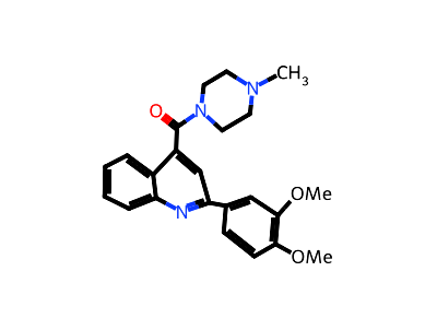 COc1ccc(-c2cc(C(=O)N3CCN(C)CC3)c3ccccc3n2)cc1OC